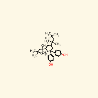 CC(C)(C)CC(C)(C)C1CC(C(C)(C)CC(C)(C)C)CC(c2ccc(O)cc2)(c2ccc(O)cc2)C1